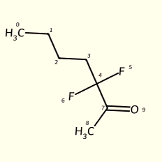 CCCCC(F)(F)C(C)=O